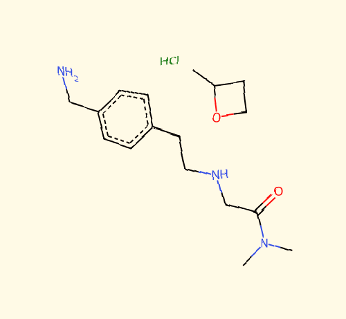 CC1CCO1.CN(C)C(=O)CNCCc1ccc(CN)cc1.Cl